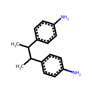 CC(c1ccc(N)cc1)C(C)c1ccc(N)cc1